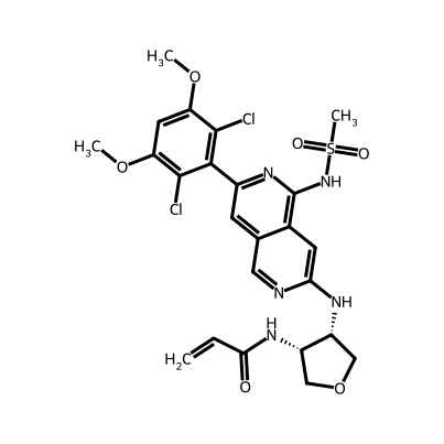 C=CC(=O)N[C@H]1COC[C@H]1Nc1cc2c(NS(C)(=O)=O)nc(-c3c(Cl)c(OC)cc(OC)c3Cl)cc2cn1